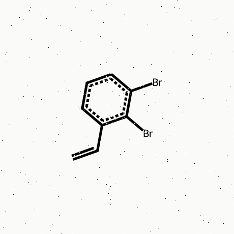 C=Cc1cccc(Br)c1Br